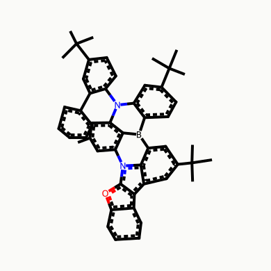 Cc1cc2c3c(c1)-n1c4oc5ccccc5c4c4cc(C(C)(C)C)cc(c41)B3c1ccc(C(C)(C)C)cc1N2c1ccc(C(C)(C)C)cc1-c1ccccc1